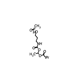 CC(OC(=O)NCCCO[PH](C)=O)OC(=O)C(C)C